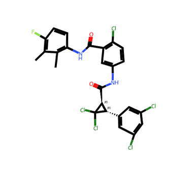 Cc1c(F)ccc(NC(=O)c2cc(NC(=O)[C@H]3[C@H](c4cc(Cl)cc(Cl)c4)C3(Cl)Cl)ccc2Cl)c1C